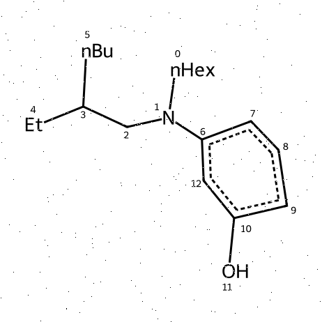 CCCCCCN(CC(CC)CCCC)c1cccc(O)c1